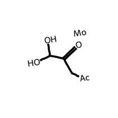 CC(=O)CC(=O)C(O)O.[Mo]